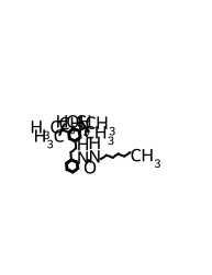 CCCCCCCNC(=O)Nc1ccccc1CCc1cc(C(C)(C)C)c(O)c(C(C)(C)C)c1